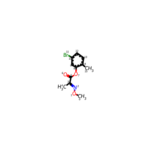 CON=C(C)C(=O)Oc1cc(Br)ccc1C